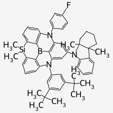 CC(C)(C)c1cc(N2c3cc(N4c5ccccc5C5(C)CCCCC45C)cc4c3B3c5c(cccc5[Si](C)(C)c5cccc2c53)N4c2ccc(F)cc2)cc(C(C)(C)C)c1